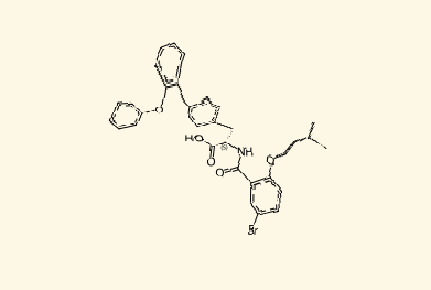 CC(C)CCOc1ccc(Br)cc1C(=O)N[C@@H](Cc1ccc(-c2ccccc2Oc2ccccc2)cc1)C(=O)O